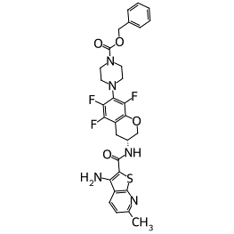 Cc1ccc2c(N)c(C(=O)N[C@H]3COc4c(F)c(N5CCN(C(=O)OCc6ccccc6)CC5)c(F)c(F)c4C3)sc2n1